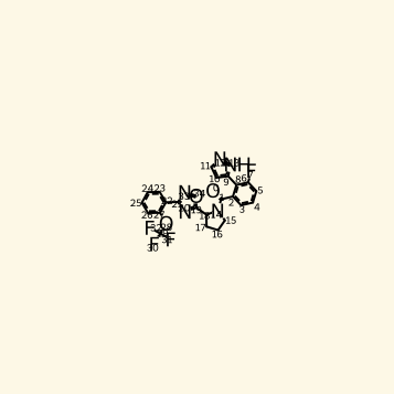 O=C(c1cccc(F)c1-c1ccn[nH]1)N1CCCC1c1nc(-c2ccccc2OC(F)(F)F)no1